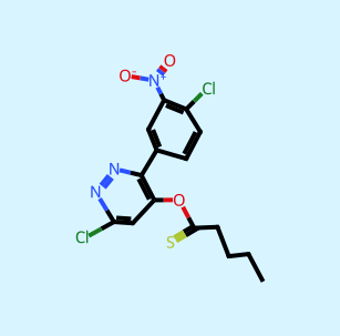 CCCCC(=S)Oc1cc(Cl)nnc1-c1ccc(Cl)c([N+](=O)[O-])c1